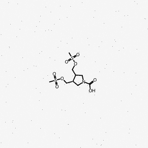 CS(=O)(=O)OCC1CN(C(=O)O)CC1COS(C)(=O)=O